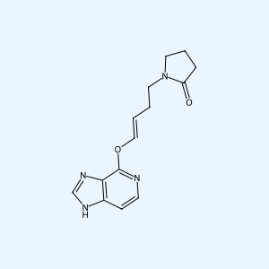 O=C1CCCN1CCC=COc1nccc2[nH]cnc12